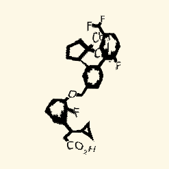 CC1(C)CCC[C@@H]1c1cc(COc2cccc(C(CC(=O)O)C3CC3)c2F)ccc1-c1cc(C(F)F)ccc1F